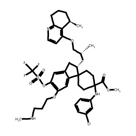 CNCCCOc1cc2c(cc1OS(=O)(=O)C(F)(F)F)C[C@H](C[C@@H](C)COc1ccnc3c1[C@H](C)CCC3)C21CCC(Nc2cccc(Cl)c2)(C(=O)OC)CC1